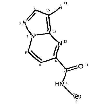 CCC(C)NC(=O)c1ccn2ncc(I)c2n1